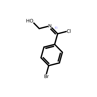 OC/N=C(/Cl)c1ccc(Br)cc1